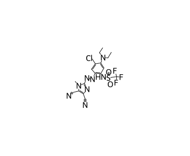 CCN(CC)c1cc(NS(=O)(=O)C(F)(F)F)c(N=Nc2nc(C#N)c(C#N)n2C)cc1Cl